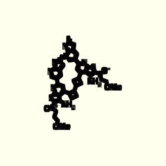 COCCC[S+]([O-])c1sc2nc(-c3cnc4nn(C)cc4c3)cc(C3CCC3C3CC(c4cc(-c5cnc6nn(C)cc6c5)nc5sc([S@@+]([O-])CCOC)c(N)c45)C3)c2c1N